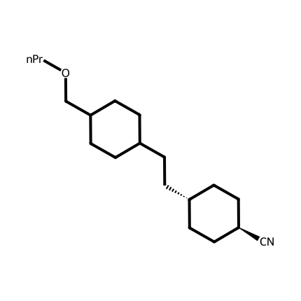 CCCOCC1CCC(CC[C@H]2CC[C@H](C#N)CC2)CC1